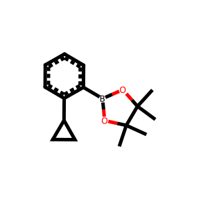 CC1(C)OB(c2ccccc2C2CC2)OC1(C)C